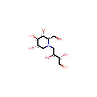 OC[C@@H](O)[C@@H](O)CN1C[C@H](O)[C@@H](O)[C@H](O)[C@H]1CO